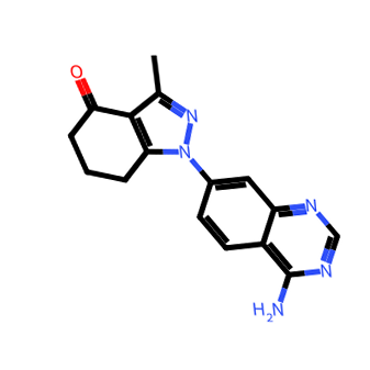 Cc1nn(-c2ccc3c(N)ncnc3c2)c2c1C(=O)CCC2